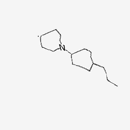 CCCC1CCC(N2CC[CH]CC2)CC1